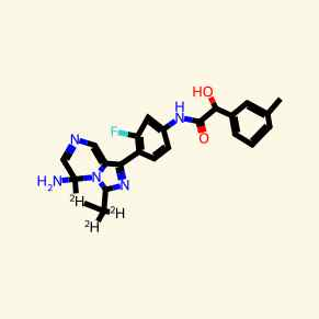 [2H]C([2H])([2H])C1N=C(c2ccc(NC(=O)C(O)c3cccc(C)c3)cc2F)C2=CN=CC(C)(N)N21